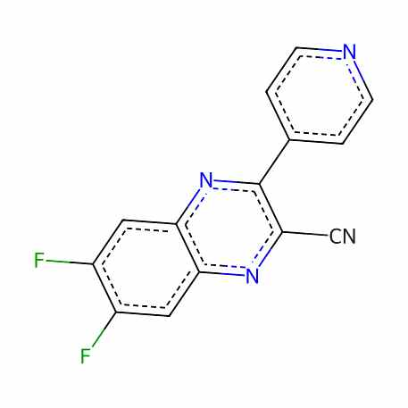 N#Cc1nc2cc(F)c(F)cc2nc1-c1ccncc1